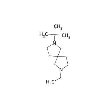 CCN1CCC2(CCN(C(C)(C)C)C2)C1